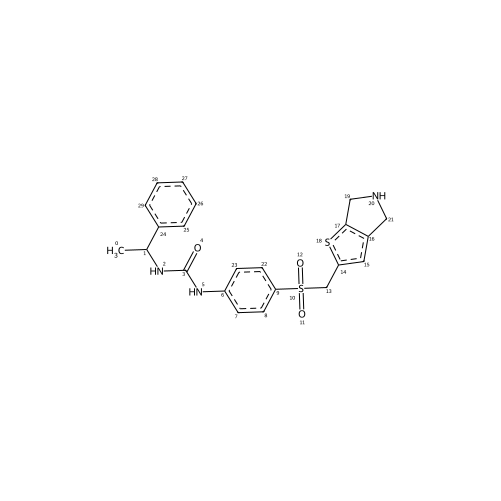 CC(NC(=O)Nc1ccc(S(=O)(=O)Cc2cc3c(s2)CNC3)cc1)c1ccccc1